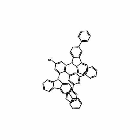 N#Cc1cc(-n2c3ccccc3c3cc(-c4ccccc4)ccc32)c(-c2nc(-c3ccccc3)nc(-c3ccccc3)n2)c(-n2c3ccccc3c3cc(-c4ccccc4)ccc32)c1